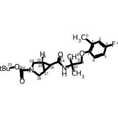 Cc1cc(F)ccc1OCC(C)(C)NC(=O)C1C2CN(C(=O)OC(C)(C)C)C[C@@H]21